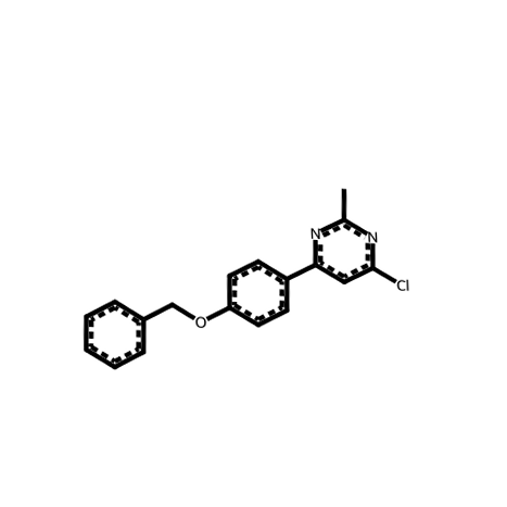 Cc1nc(Cl)cc(-c2ccc(OCc3ccccc3)cc2)n1